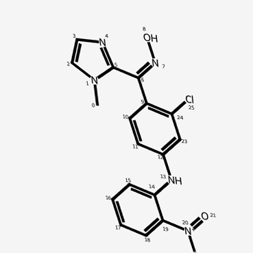 Cn1ccnc1C(=NO)c1ccc(Nc2ccccc2[N+](=O)[O-])cc1Cl